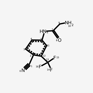 N#Cc1ccc(NC(=O)CN)cc1C(F)(F)F